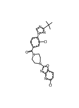 CC(C)(C)c1ncn(-c2ccc(C(=O)N3CCN(c4nc5nc(Cl)ccc5o4)CC3)cc2Cl)n1